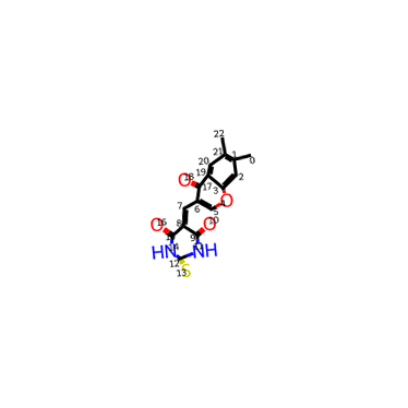 Cc1cc2occ(C=C3C(=O)NC(=S)NC3=O)c(=O)c2cc1C